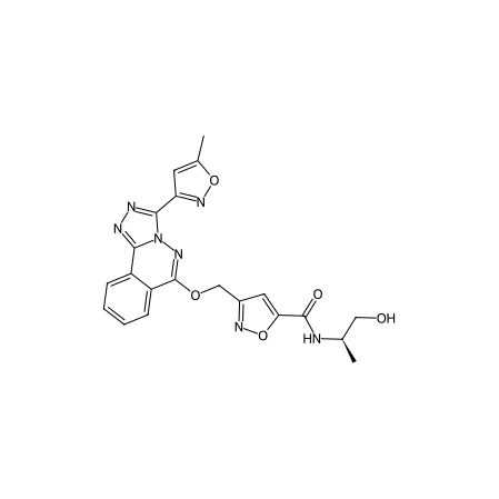 Cc1cc(-c2nnc3c4ccccc4c(OCc4cc(C(=O)N[C@H](C)CO)on4)nn23)no1